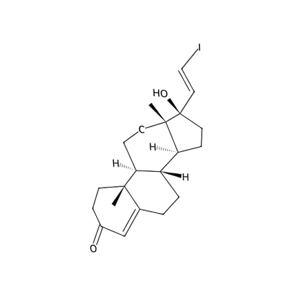 C[C@]12CCC(=O)C=C1CC[C@@H]1[C@@H]2CC[C@@]2(C)[C@H]1CC[C@@]2(O)/C=C/I